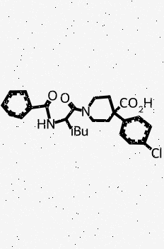 CCC(C)C(NC(=O)c1ccccc1)C(=O)N1CCC(C(=O)O)(c2ccc(Cl)cc2)CC1